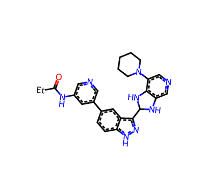 CCC(=O)Nc1cncc(-c2ccc3[nH]nc(C4Nc5cncc(N6CCCCC6)c5N4)c3c2)c1